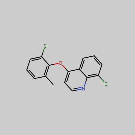 Cc1cccc(Cl)c1Oc1ccnc2c(Cl)cccc12